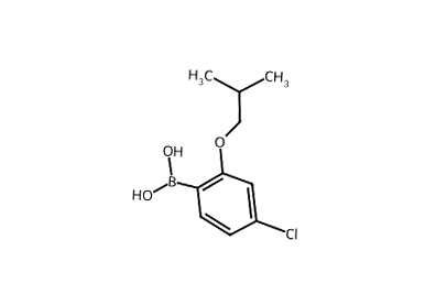 CC(C)COc1cc(Cl)ccc1B(O)O